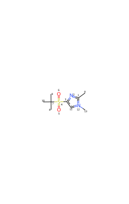 Cc1nc(S(=O)(=O)C(C)(C)C)cn1C